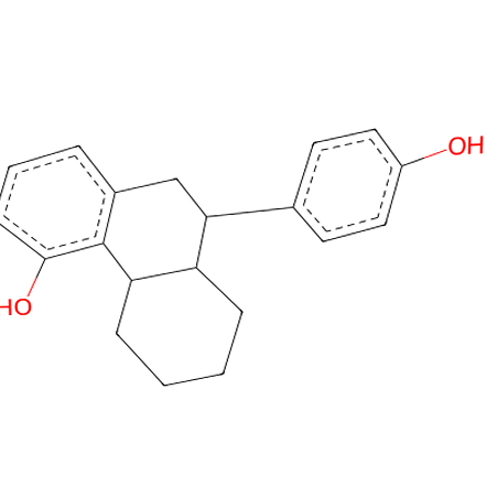 Oc1ccc(C2Cc3cccc(O)c3C3CCCCC23)cc1